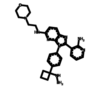 BNC1(c2ccc(-n3c(-c4cccnc4N)nc4ccc(NCCN5CCOCC5)nc43)cc2)CCC1